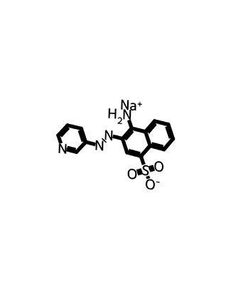 Nc1c(N=Nc2cccnc2)cc(S(=O)(=O)[O-])c2ccccc12.[Na+]